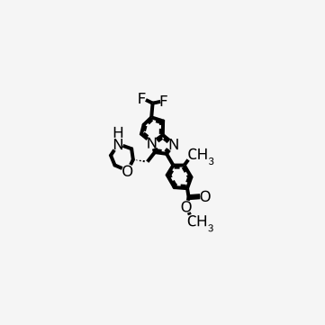 COC(=O)c1ccc(-c2nc3cc(C(F)F)ccn3c2C[C@H]2CNCCO2)c(C)c1